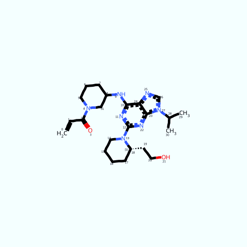 C=CC(=O)N1CCCC(Nc2nc(N3CCCC[C@H]3CCO)nc3c2ncn3C(C)C)C1